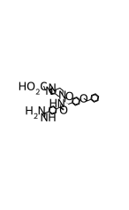 N=C(N)c1ccc(C(=O)N[C@@H](Cc2ccc(OCc3ccccc3)cc2)C(=O)N2CCc3nn(CC(=O)O)cc3C2)cc1